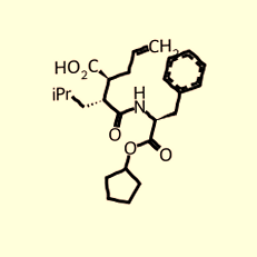 C=CC[C@H](C(=O)O)[C@@H](CC(C)C)C(=O)N[C@@H](Cc1ccccc1)C(=O)OC1CCCC1